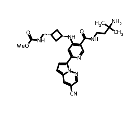 COC(=O)NC[C@H]1C[C@H](Nc2cc(-c3ccc4cc(C#N)cnn34)ncc2C(=O)NCCC(C)(C)N)C1